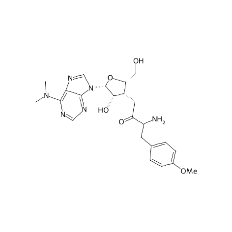 COc1ccc(CC(N)C(=O)C[C@@H]2[C@H](O)[C@H](n3cnc4c(N(C)C)ncnc43)O[C@@H]2CO)cc1